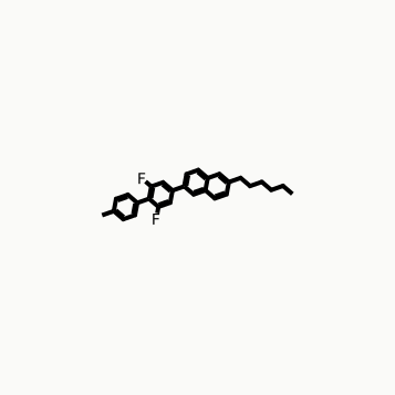 CCCCCCc1ccc2cc(-c3cc(F)c(-c4ccc(C)cc4)c(F)c3)ccc2c1